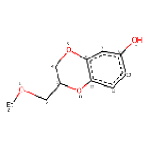 CCOCC1COc2cc(O)ccc2O1